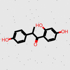 CC(C(=O)c1ccc(O)cc1O)c1ccc(O)cc1